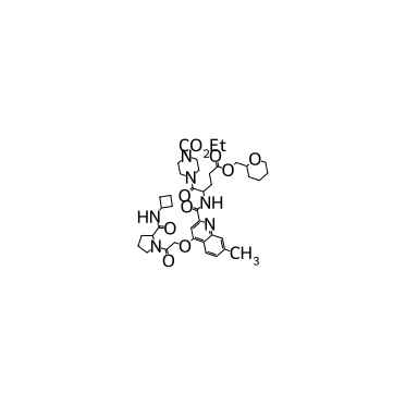 CCOC(=O)N1CCN(C(=O)C(CCC(=O)OCC2CCCCO2)NC(=O)c2cc(OCC(=O)N3CCCC3C(=O)NC3CCC3)c3ccc(C)cc3n2)CC1